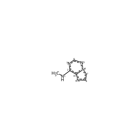 CNc1ncnn2ccnc12